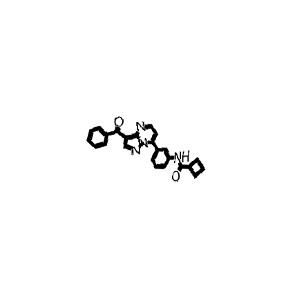 O=C(c1ccccc1)c1cnn2c(-c3cccc(NC(=O)C4CCC4)c3)ccnc12